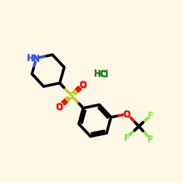 Cl.O=S(=O)(c1cccc(OC(F)(F)F)c1)C1CCNCC1